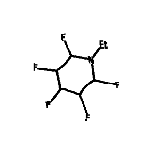 CCN1C(F)C(F)C(F)C(F)C1F